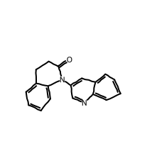 O=C1CCc2ccccc2N1c1cnc2ccccc2c1